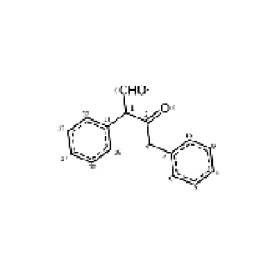 O=[C]C(C(=O)Cc1ccccc1)c1ccccc1